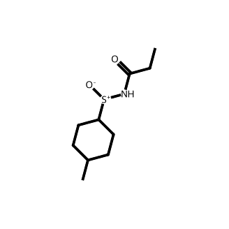 CCC(=O)N[S+]([O-])C1CCC(C)CC1